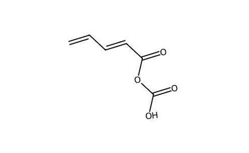 C=CC=CC(=O)OC(=O)O